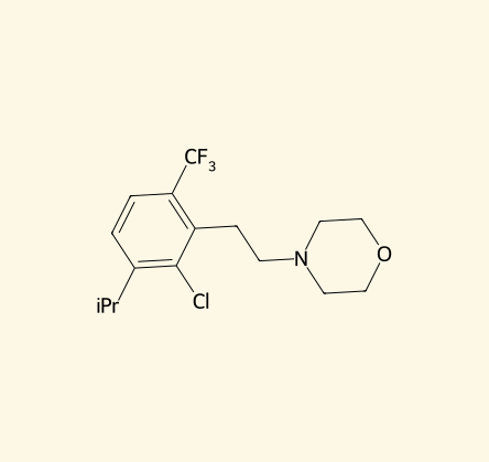 CC(C)c1ccc(C(F)(F)F)c(CCN2CCOCC2)c1Cl